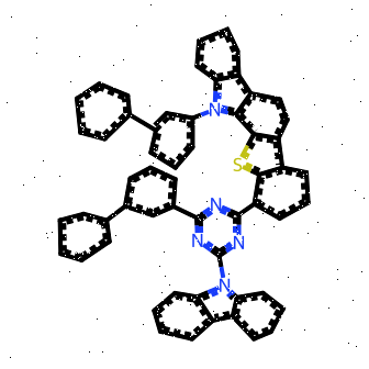 c1ccc(-c2cccc(-c3nc(-c4cccc5c4sc4c5ccc5c6ccccc6n(-c6cccc(-c7ccccc7)c6)c54)nc(-n4c5ccccc5c5ccccc54)n3)c2)cc1